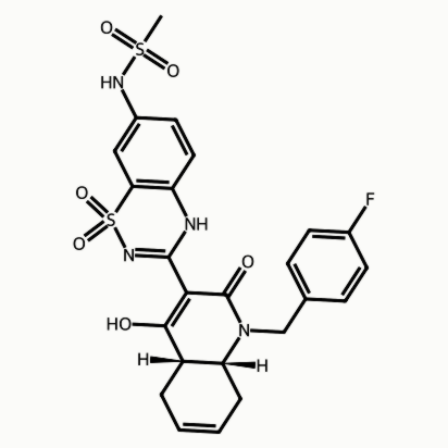 CS(=O)(=O)Nc1ccc2c(c1)S(=O)(=O)N=C(C1=C(O)[C@H]3CC=CC[C@H]3N(Cc3ccc(F)cc3)C1=O)N2